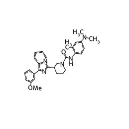 COc1cccc(-c2nc([C@@H]3CCCN(C(=O)Nc4ccc(N(C)C)cc4C)C3)n3ccccc23)c1